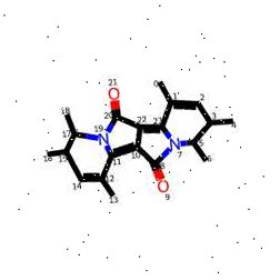 CC1=CC(C)C(C)N2C(=O)C3=C4C(C)=CC(C)C(C)N4C(=O)C3=C12